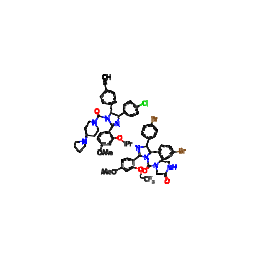 C#Cc1ccc(C2C(c3ccc(Cl)cc3)N=C(c3ccc(OC)cc3OC(C)C)N2C(=O)N2CCC(N3CCCC3)CC2)cc1.COc1ccc(C2=NC(c3ccc(Br)cc3)C(c3ccc(Br)cc3)N2C(=O)N2CCNC(=O)C2)c(OCC(F)(F)F)c1